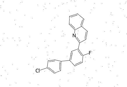 Fc1ccc(-c2ccc(Cl)cc2)cc1-c1ccc2ccccc2n1